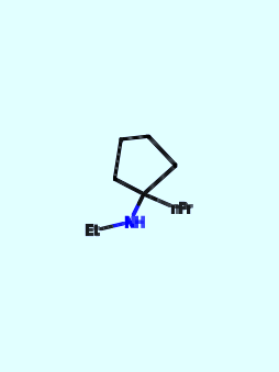 CCCC1(NCC)CCCC1